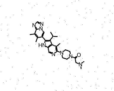 Cc1c(-c2[nH]c3cnc(N4CCN(C(=O)CN(C)C)CC4)c(C)c3c2C(C)C)cn2ncnc2c1C